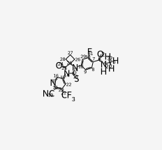 [2H]C([2H])([2H])NC(=O)c1ccc(N2C(=S)N(c3cnc(C#N)c(C(F)(F)F)c3)C(=O)C23CCC3)cc1F